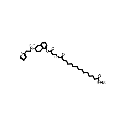 CCCN(CCc1cccs1)[C@H]1CCc2c(cccc2OC(=O)CCNC(=O)CCCCCCCCCCCCCC(=O)NCC)C1